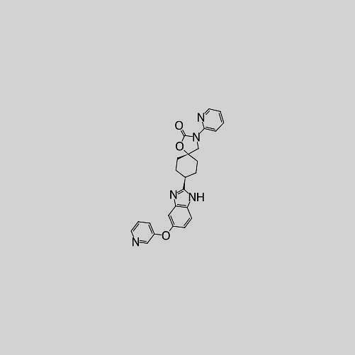 O=C1O[C@]2(CC[C@H](c3nc4cc(Oc5cccnc5)ccc4[nH]3)CC2)CN1c1ccccn1